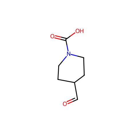 O=CC1CCN(C(=O)O)CC1